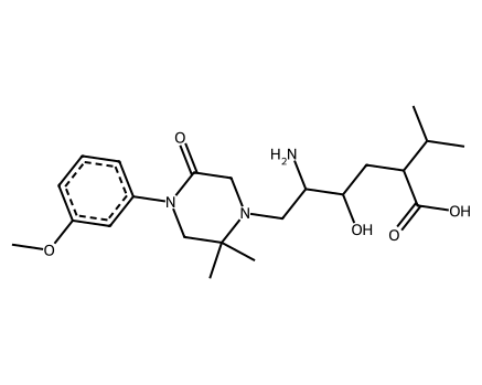 COc1cccc(N2CC(C)(C)N(CC(N)C(O)CC(C(=O)O)C(C)C)CC2=O)c1